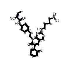 C/C=C(/C#N)C(=O)Nc1ccc(CCn2c(=O)c(-c3ccccc3Cl)cc3cnc(NCCCCN(CC)CC)nc32)cc1